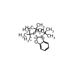 CC(C)(C)P([C@@H]1Oc2ccccc2[P@]1C(C)(C)C)C(C)(C)C